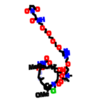 COc1cc2cc(c1Cl)N(C)C(=O)CC(OC(=O)[C@H](C)N(C)C(=O)CCOCCn1cc(COCCOCCOCCOCCNC(=O)CCN3C(=O)C=CC3=O)nn1)C(C)(O)C[C@H](C)[C@@H]1C[C@@](O)(NC(=O)O1)C(OC)/C=C/C=C(\C)C2